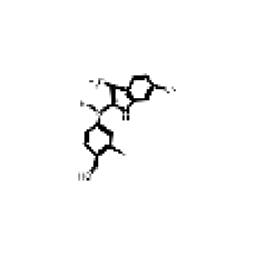 CCN(c1ccc(CO)c(F)c1)c1[nH]c2cc(C#N)ccc2c1C